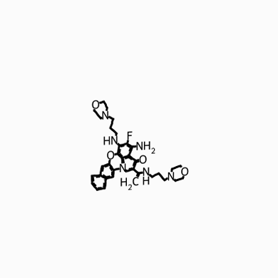 C=C(NCCCN1CCOCC1)c1cn2c3c(c(NCCCN4CCOCC4)c(F)c(N)c3c1=O)Oc1cc3ccccc3cc1-2